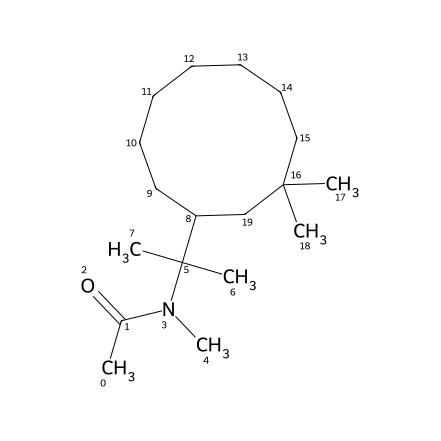 CC(=O)N(C)C(C)(C)C1CCCCCCCC(C)(C)C1